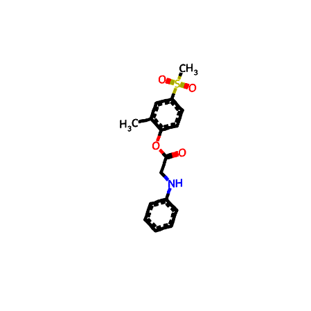 Cc1cc(S(C)(=O)=O)ccc1OC(=O)CNc1ccccc1